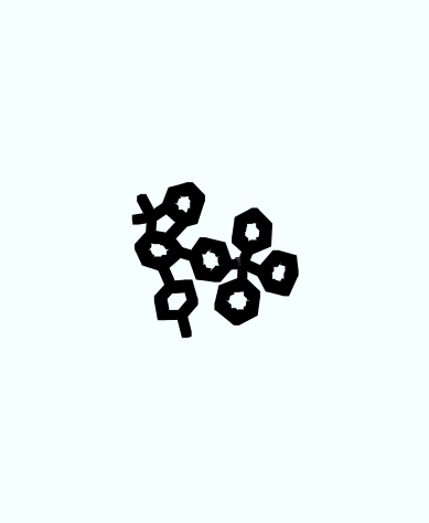 CC1C=CC(c2ccc3c(c2-c2ccc([Si](c4ccccc4)(c4ccccc4)c4ccccc4)cc2)-c2ccccc2C3(C)C)=CC1